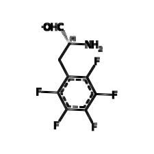 N[C@@H]([C]=O)Cc1c(F)c(F)c(F)c(F)c1F